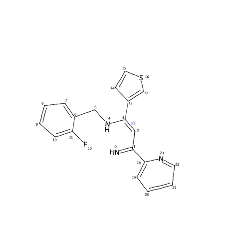 N=C(/C=C(\NCc1ccccc1F)c1ccsc1)c1ccccn1